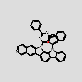 c1ccc(-c2nc(-c3ccccc3)nc(-n3c4cc5ccncc5cc4c4ccc5c6ccccc6n(-c6ccccc6)c5c43)n2)cc1